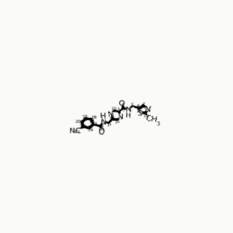 Cc1ncc(CNC(=O)c2cnc(CNC(=O)c3cccc(C#N)c3)cn2)s1